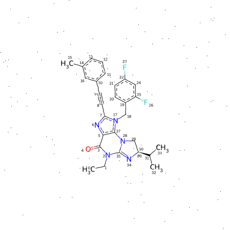 CCN1C(=O)c2nc(C#Cc3cccc(C)c3)n(Cc3ccc(F)cc3F)c2N2C[C@@H](C(C)C)N=C12